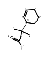 CCC(=O)C(C)(C)[C@@H]1C=CCCC1